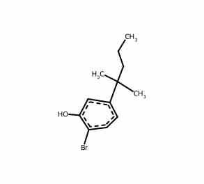 CCCC(C)(C)c1ccc(Br)c(O)c1